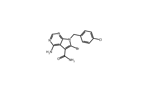 NC(=O)c1c(Br)n(Cc2ccc(Cl)cc2)c2ncnc(N)c12